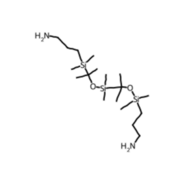 CC(C)(O[Si](C)(C)C(C)(C)O[Si](C)(C)CCCN)[Si](C)(C)CCCN